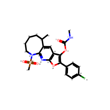 CNC(=O)Oc1c(-c2ccc(F)cc2)oc2nc3c(cc12)C(C)CCCCN3S(C)(=O)=O